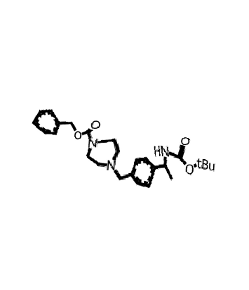 CC(NC(=O)OC(C)(C)C)c1ccc(CN2CCN(C(=O)OCc3ccccc3)CC2)cc1